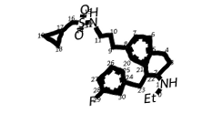 CCNC1CCc2ccc(CCCNS(=O)(=O)CC3CC3)cc2C1Cc1cccc(F)c1